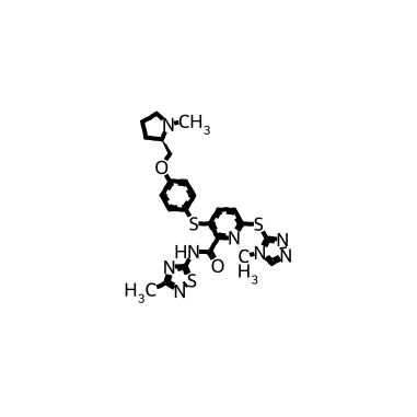 Cc1nsc(NC(=O)c2nc(Sc3nncn3C)ccc2Sc2ccc(OC[C@H]3CCCN3C)cc2)n1